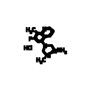 Cc1c(F)cc(N2C[C@@H](C)C[C@@H](N)C2)c2cccnc12.Cl